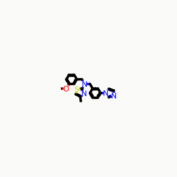 COc1cccc(CN(Cc2cccc(-n3ccnc3)c2)c2nc(C)cs2)c1